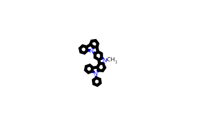 Cn1c2cc3c4cccc5c6ccccc6n(c3cc2c2c3c6ccccc6n(-c6ccccc6)c3ccc21)c54